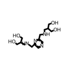 OCC(CO)CNCc1cncc(CNCC(CO)CO)n1